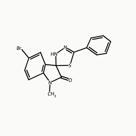 CN1C(=O)C2(NN=C(c3ccccc3)S2)c2cc(Br)ccc21